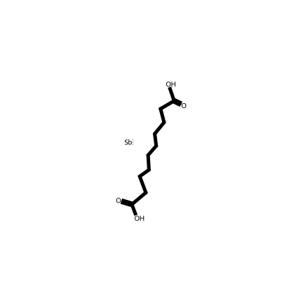 O=C(O)CCCCCCCCC(=O)O.[Sb]